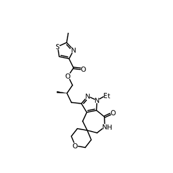 CCn1nc(C[C@@H](C)COC(=O)c2csc(C)n2)c2c1C(=O)NCC1(CCOCC1)C2